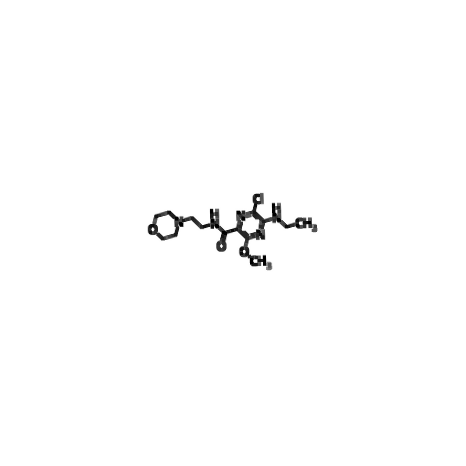 CCNc1nc(OC)c(C(=O)NCCN2CCOCC2)nc1Cl